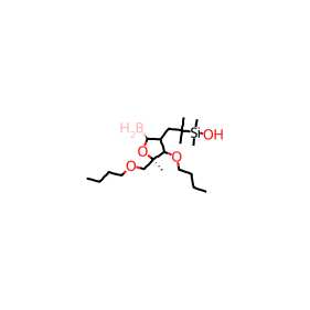 B[C@@H]1O[C@](C)(COCCCC)C(OCCCC)C1CC(C)(C)[Si](C)(C)O